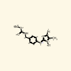 CCn1c(C)c(C(C)=O)s/c1=N\c1ccc(CNC(=O)OC(C)(C)C)cc1